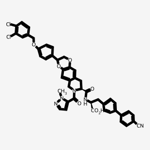 Cn1nccc1C(=O)N1Cc2cc3c(cc2C[C@H]1C(=O)N[C@@H](Cc1ccc(-c2ccc(C#N)cc2)cc1)C(=O)O)OCC(c1ccc(OCc2ccc(Cl)c(Cl)c2)cc1)O3